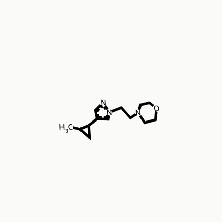 CC1CC1c1cnn(CCN2CCOCC2)c1